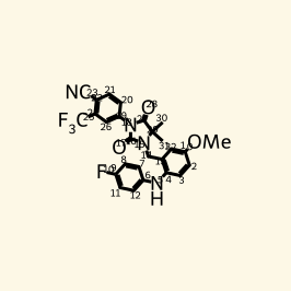 COc1ccc(Nc2ccc(F)cc2)c(CN2C(=O)N(c3ccc(C#N)c(C(F)(F)F)c3)C(=O)C2(C)C)c1